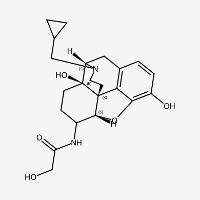 O=C(CO)NC1CC[C@]2(O)[C@@H]3Cc4ccc(O)c5c4[C@]2(CCN3CC2CC2)[C@@H]1O5